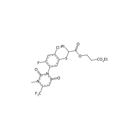 CCOC(=O)CCOC(=O)C(Sc1cc(-n2c(=O)cc(C(F)(F)F)n(C)c2=O)c(F)cc1Cl)C(C)C